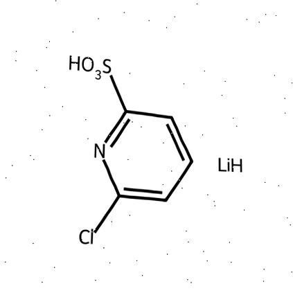 O=S(=O)(O)c1cccc(Cl)n1.[LiH]